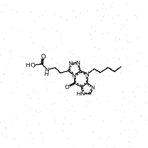 CCCCCn1c2nc[nH]c2c(=O)n2c(CCNC(=O)O)nnc12